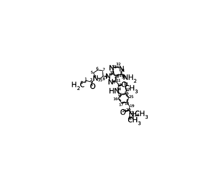 C=CC(=O)N1CCC[C@@H](n2nc(C(=O)Nc3ccc(CC(=O)N(C)C)cc3C)c3c(N)ncnc32)C1